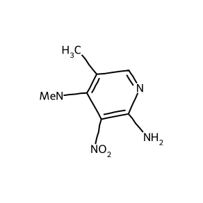 CNc1c(C)cnc(N)c1[N+](=O)[O-]